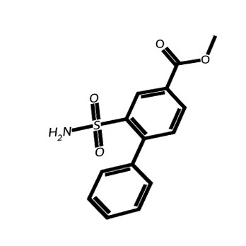 COC(=O)c1ccc(-c2ccccc2)c(S(N)(=O)=O)c1